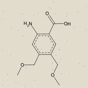 COCc1cc(N)c(C(=O)O)cc1COC